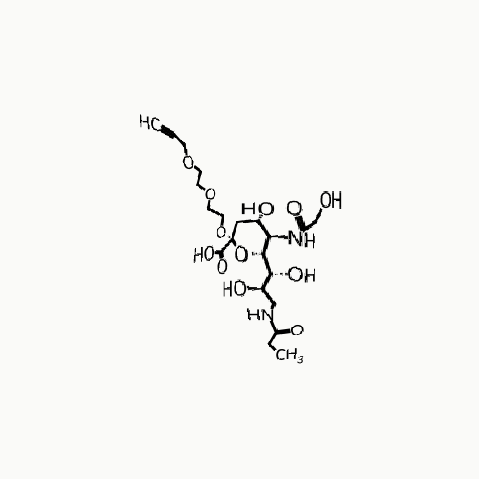 C#CCOCCOCCO[C@]1(C(=O)O)C[C@H](O)[C@@H](NC(=O)CO)[C@H]([C@H](O)[C@H](O)CNC(=O)CC)O1